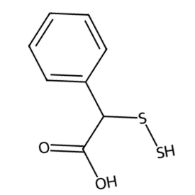 O=C(O)C(SS)c1ccccc1